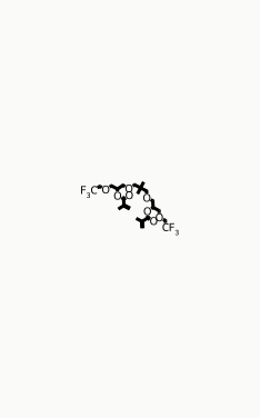 C=C(C)C(=O)OC(COCC(F)(F)F)COCC(C)(C)COCC(COCC(F)(F)F)OC(=O)C(=C)C